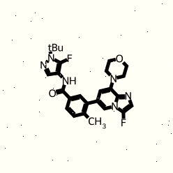 Cc1ccc(C(=O)Nc2cnn(C(C)(C)C)c2F)cc1-c1cc(N2CCOCC2)c2ncc(F)n2c1